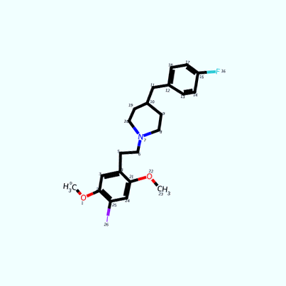 COc1cc(CCN2CCC(Cc3ccc(F)cc3)CC2)c(OC)cc1I